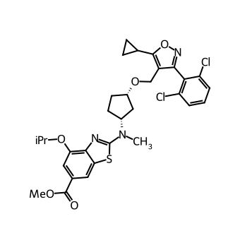 COC(=O)c1cc(OC(C)C)c2nc(N(C)[C@@H]3CC[C@H](OCc4c(-c5c(Cl)cccc5Cl)noc4C4CC4)C3)sc2c1